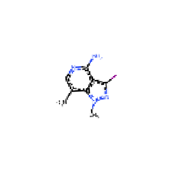 Cn1nc(I)c2c(N)ncc([N+](=O)[O-])c21